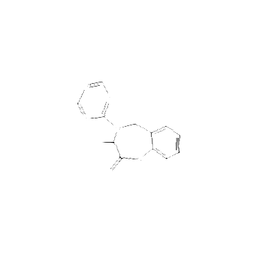 CC[C@H](C)C1C(=O)Nc2ccccc2CN1c1ncncn1